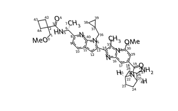 COCC1(C(=O)N[C@H](C)c2ccc3cc(-c4nc5cc(C(=O)N6[C@H]7CC[C@@H]6[C@H](N)C7)cc(OC)n5c4C)n(CC4CC4)c3n2)CCC1